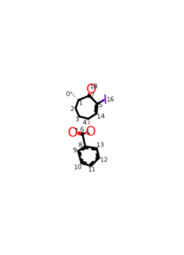 C[C@H]1CC[C@@H](OC(=O)c2ccccc2)C=C(I)C1=O